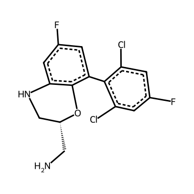 NC[C@@H]1CNc2cc(F)cc(-c3c(Cl)cc(F)cc3Cl)c2O1